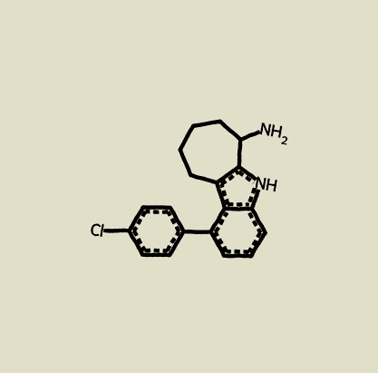 NC1CCCCc2c1[nH]c1cccc(-c3ccc(Cl)cc3)c21